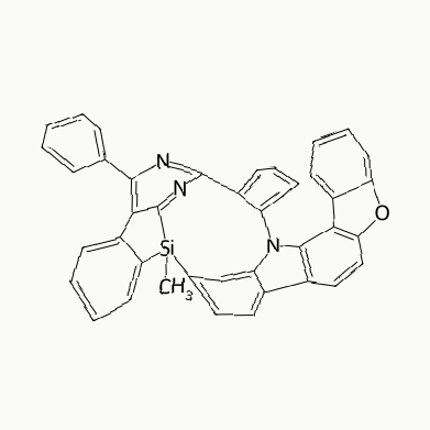 C[Si]12c3ccc4c5ccc6oc7ccccc7c6c5n(c4c3)-c3ccccc3-c3nc(-c4ccccc4)c(c1n3)-c1ccccc12